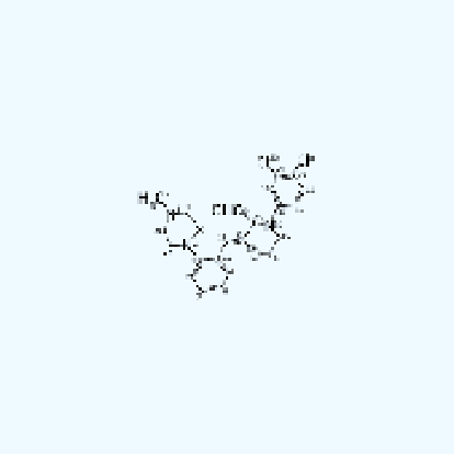 CN1CCN(c2ccccc2C=C2OCCN(c3ccc(Cl)c(Cl)c3)C2C=O)CC1